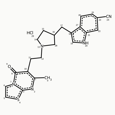 Cc1nc2sccn2c(=O)c1CCN1CCC(Cc2c[nH]c3cc(C#N)ccc23)C1.Cl